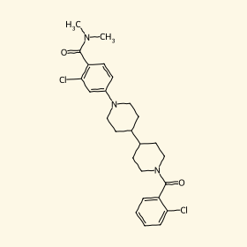 CN(C)C(=O)c1ccc(N2CCC(C3CCN(C(=O)c4ccccc4Cl)CC3)CC2)cc1Cl